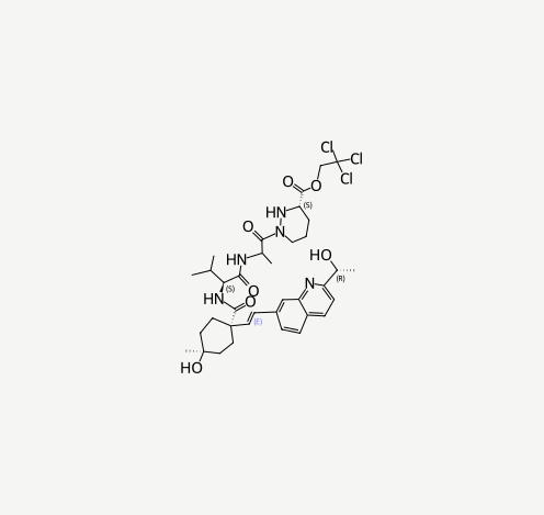 CC(NC(=O)[C@@H](NC(=O)[C@]1(/C=C/c2ccc3ccc([C@@H](C)O)nc3c2)CC[C@@](C)(O)CC1)C(C)C)C(=O)N1CCC[C@@H](C(=O)OCC(Cl)(Cl)Cl)N1